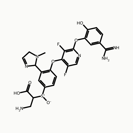 CN1CC=NC1c1cc([S+]([O-])C(CN)C(=O)O)ccc1Oc1c(F)cnc(Oc2cc(C(=N)N)ccc2O)c1F